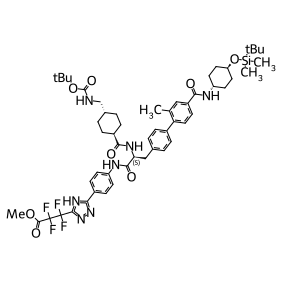 COC(=O)C(F)(F)C(F)(F)c1nnc(-c2ccc(NC(=O)[C@H](Cc3ccc(-c4ccc(C(=O)N[C@H]5CC[C@H](O[Si](C)(C)C(C)(C)C)CC5)cc4C)cc3)NC(=O)[C@H]3CC[C@H](CNC(=O)OC(C)(C)C)CC3)cc2)[nH]1